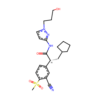 CS(=O)(=O)c1ccc([C@@H](CC2CCCC2)C(=O)Nc2ccn(CCCO)n2)cc1C#N